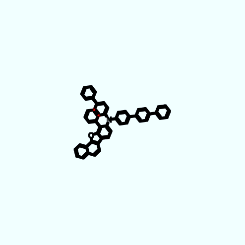 c1ccc(-c2ccc(-c3ccc(N(c4ccc(-c5ccccc5)cc4)c4ccc5c(oc6c7ccccc7ccc56)c4-c4ccccc4)cc3)cc2)cc1